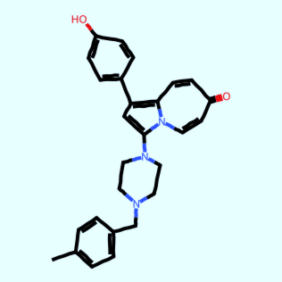 Cc1ccc(CN2CCN(c3cc(-c4ccc(O)cc4)c4ccc(=O)ccn34)CC2)cc1